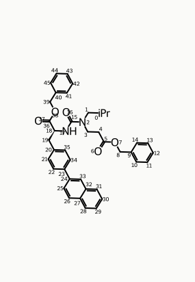 CC(C)CN(CCC(=O)OCc1ccccc1)C(=O)N[C@@H](Cc1ccc(-c2ccc3ccccc3c2)cc1)C(=O)OCc1ccccc1